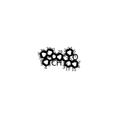 CC1(c2ccccc2)c2cc(-c3ccc4cccc5c4c3-c3ccccc3O5)ccc2-c2ccc3ccccc3c21